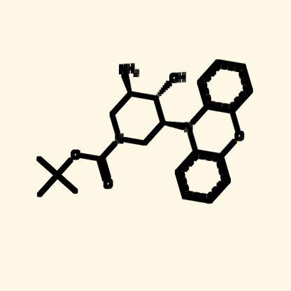 CC(C)(C)OC(=O)N1C[C@@H](N)[C@H](O)[C@@H](N2c3ccccc3Oc3ccccc32)C1